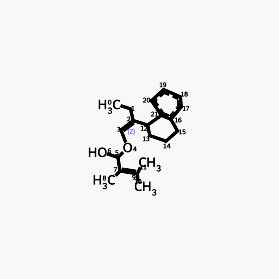 CC/C(=C/OC(O)C(C)=C(C)C)C1CCCc2ccccc21